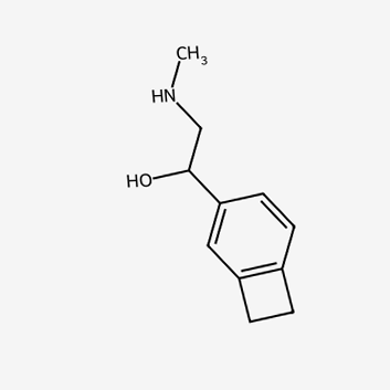 CNCC(O)c1ccc2c(c1)CC2